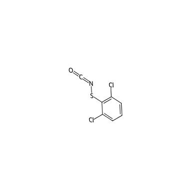 O=C=NSc1c(Cl)cccc1Cl